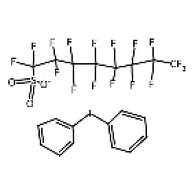 O=S(=O)([O-])C(F)(F)C(F)(F)C(F)(F)C(F)(F)C(F)(F)C(F)(F)C(F)(F)C(F)(F)F.c1ccc([I+]c2ccccc2)cc1